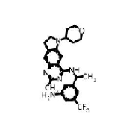 Cc1nc(NC(C)c2cc(N)cc(C(F)(F)F)c2)c2cc3c(cc2n1)CCN3C1CCOCC1